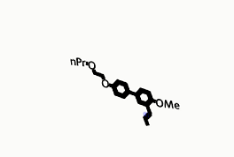 C/C=C/c1cc(-c2ccc(OCCOCCC)cc2)ccc1OC